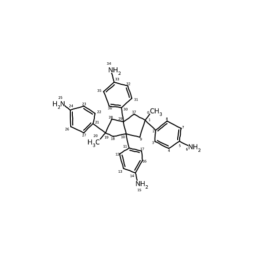 CC1(c2ccc(N)cc2)CC2(c3ccc(N)cc3)CC(C)(c3ccc(N)cc3)CC2(c2ccc(N)cc2)C1